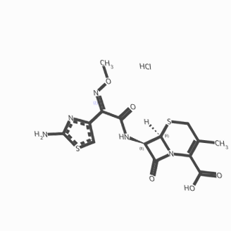 CO/N=C(\C(=O)N[C@@H]1C(=O)N2C(C(=O)O)=C(C)CS[C@H]12)c1csc(N)n1.Cl